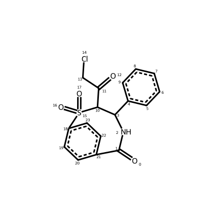 O=C1NC(c2ccccc2)C(C(=O)CCl)S(=O)(=O)c2ccc1cc2